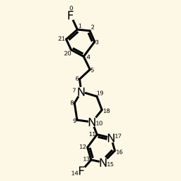 Fc1ccc(CCN2CCN(c3cc(F)ncn3)CC2)cc1